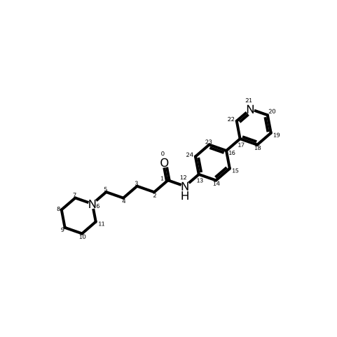 O=C(CCCCN1CCCCC1)Nc1ccc(-c2cccnc2)cc1